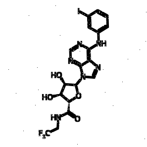 O=C(NCC(F)(F)F)[C@H]1OC(n2cnc3c(Nc4cccc(I)c4)ncnc32)[C@H](O)[C@@H]1O